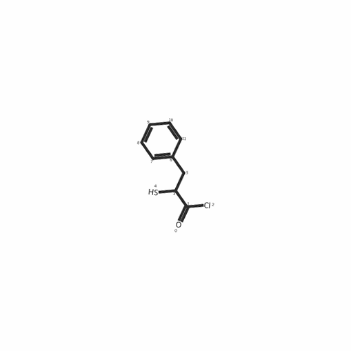 O=C(Cl)C(S)Cc1ccccc1